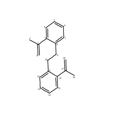 C=C(C)c1ccccc1CCc1ccccc1C(=C)C